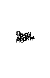 C=C(c1cnc2ccc(-c3cc(Cl)c(C)c(Cl)c3)cc2c1N[C@H]1CC[C@](O)(OCNC)CC1)C1CC1